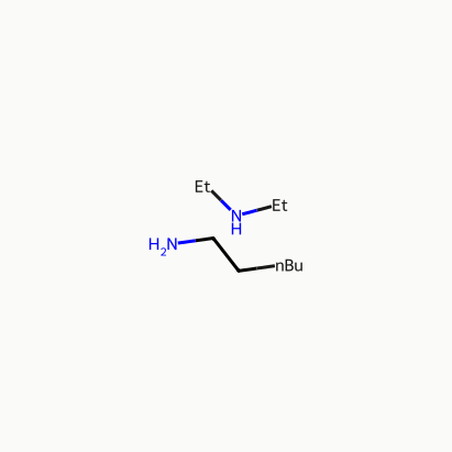 CCCCCCN.CCNCC